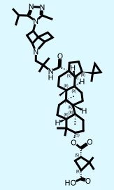 Cc1nnc(C(C)C)n1C1CC2N(CC(C)(C)NC(=O)[C@]34CC[C@@H](C5(C)CC5)[C@@H]3[C@H]3CC[C@@H]5[C@@]6(C)CC[C@H](OC(=O)[C@H]7C[C@@H](C(=O)O)C7(C)C)C(C)(C)[C@@H]6CC[C@@]5(C)[C@]3(C)CC4)C3CCC321